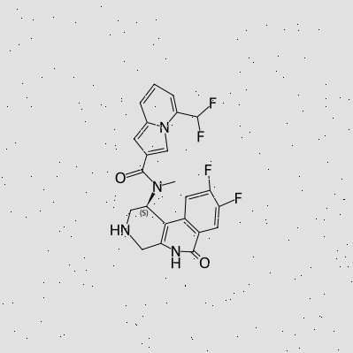 CN(C(=O)c1cc2cccc(C(F)F)n2c1)[C@@H]1CNCc2[nH]c(=O)c3cc(F)c(F)cc3c21